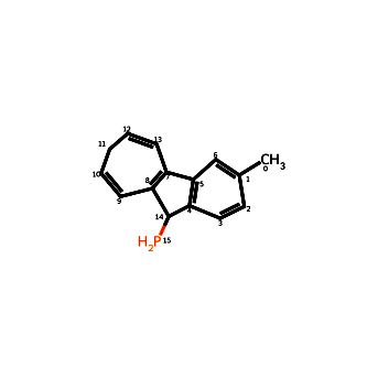 Cc1ccc2c(c1)C1=C(C=CCC=C1)C2P